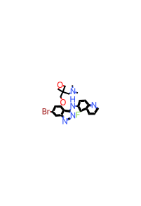 CN(C)CC1(COc2cc(Br)cc3ncnc(Nc4ccc5ncccc5c4F)c23)COC1